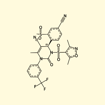 CC1=C(C#N)[C@@H](c2ccc(C#N)cc2S(C)(=O)=O)N(S(=O)(=O)c2c(C)noc2C)C(=O)N1c1cccc(C(F)(F)F)c1